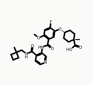 COc1cc(F)c(O[C@H]2CC[C@@](C)(C(=O)O)CC2)cc1C(=O)Nc1cnccc1C(=O)NCC1(C)CCC1